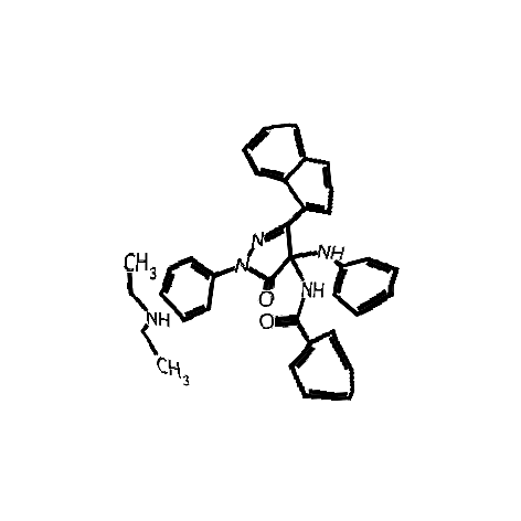 CCNCC.O=C(NC1(Nc2ccccc2)C(=O)N(c2ccccc2)N=C1c1cccc2ccccc12)c1ccccc1